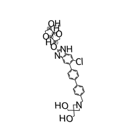 OCC1(CO)CN(Cc2ccc(-c3ccc(-c4cc5nc(O[C@@H]6CO[C@H]7[C@@H]6OC[C@H]7O)[nH]c5cc4Cl)cc3)cc2)C1